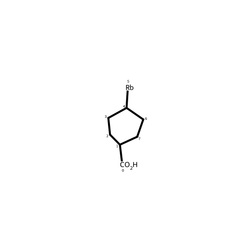 O=C(O)C1CC[CH]([Rb])CC1